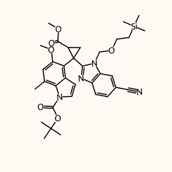 COC(=O)C1CC1(c1c(OC)cc(C)c2c1ccn2C(=O)OC(C)(C)C)c1nc2ccc(C#N)cc2n1COCC[Si](C)(C)C